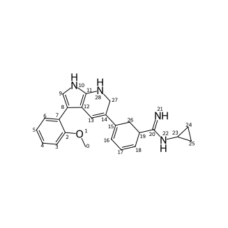 COc1ccccc1-c1c[nH]c2c1C=C(C1=CC=CC(C(=N)NC3CC3)C1)CN2